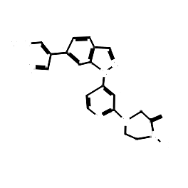 CN/C=C(\C=N)c1ccc2cnn(-c3ccnc(N4CCN(C)C(=O)C4)c3)c2c1